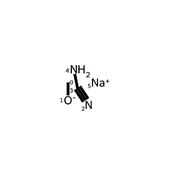 C[O-].N#CN.[Na+]